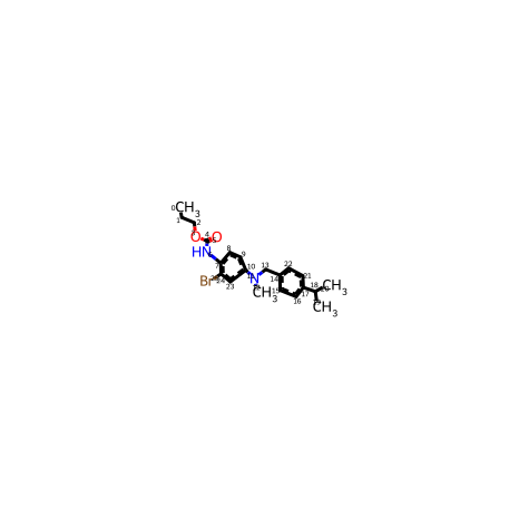 CCCOC(=O)Nc1ccc(N(C)Cc2ccc(C(C)C)cc2)cc1Br